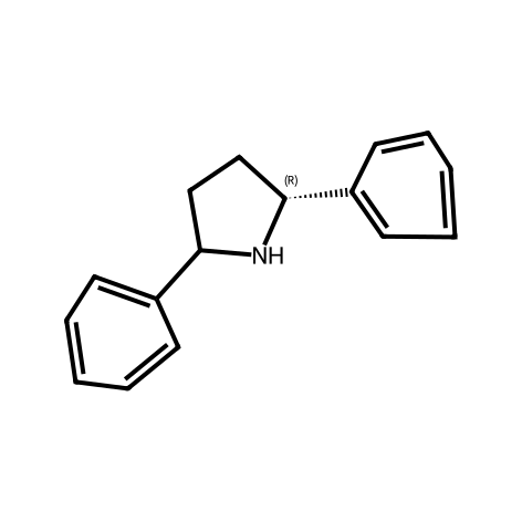 c1ccc(C2CC[C@H](c3ccccc3)N2)cc1